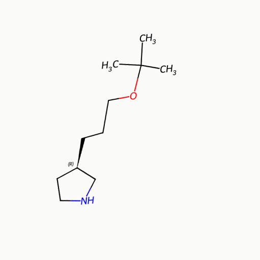 CC(C)(C)OCCC[C@@H]1CCNC1